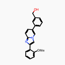 COc1ccccc1-c1cn2cc(-c3cccc(CO)c3)ccc2n1